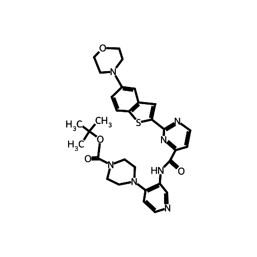 CC(C)(C)OC(=O)N1CCN(c2ccncc2NC(=O)c2ccnc(-c3cc4cc(N5CCOCC5)ccc4s3)n2)CC1